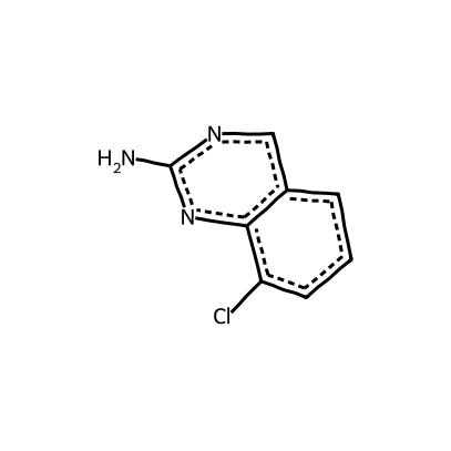 Nc1ncc2cccc(Cl)c2n1